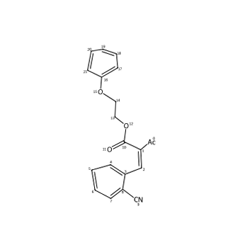 CC(=O)/C(=C/c1ccccc1C#N)C(=O)OCCOc1ccccc1